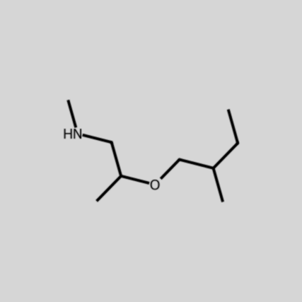 CCC(C)COC(C)CNC